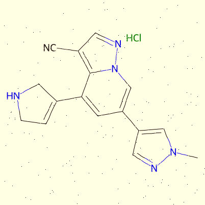 Cl.Cn1cc(-c2cc(C3=CCNC3)c3c(C#N)cnn3c2)cn1